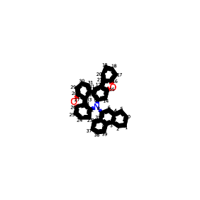 c1ccc2c(c1)cc(N(c1ccc3c(c1)oc1ccccc13)c1cccc3oc4ccccc4c13)c1ccccc12